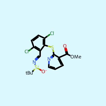 COC(=O)c1cccnc1Sc1c(Cl)ccc(Cl)c1C=N[S+]([O-])C(C)(C)C